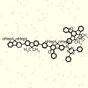 CCCCCCCC1(CCCCCCC)C2=C(CCC(c3ccc4c(c3)C(C)(C)c3cc(-c5ccc(-c6cc7c(c8c6oc6ccccc68)-c6ccc(N(c8ccc9c(c8)C(C)(C)c8c%10c(c%11oc%12ccccc%12c%11c8-9)-c8ccccc8C%10(C)C)c8nc(-c9ccccc9)nc(-c9ccccc9)n8)cc6C7(CCCCCCC)CCCCCCC)cc5)ccc3-4)=C2)c2ccccc21